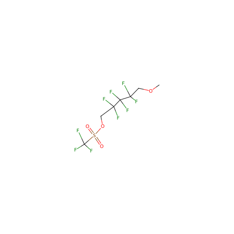 COCC(F)(F)C(F)(F)C(F)(F)COS(=O)(=O)C(F)(F)F